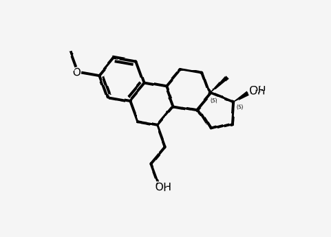 COc1ccc2c(c1)CC(CCO)C1C2CC[C@@]2(C)C1CC[C@@H]2O